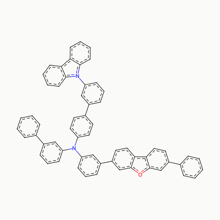 c1ccc(-c2cccc(N(c3ccc(-c4cccc(-n5c6ccccc6c6ccccc65)c4)cc3)c3cccc(-c4ccc5c(c4)oc4cc(-c6ccccc6)ccc45)c3)c2)cc1